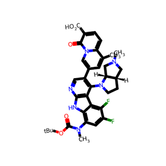 Cc1cc(-c2cnc3[nH]c4c(N(C)C(=O)OC(C)(C)C)cc(F)c(F)c4c3c2N2CC[C@H]3CN(C)C[C@H]32)cn2c(=O)c(C(=O)O)ccc12